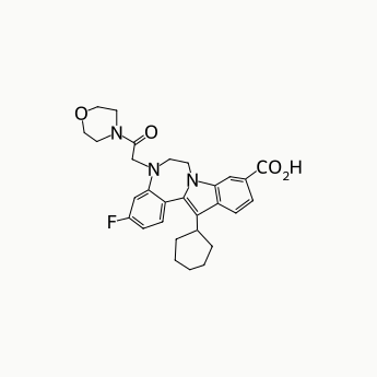 O=C(O)c1ccc2c(C3CCCCC3)c3n(c2c1)CCN(CC(=O)N1CCOCC1)c1cc(F)ccc1-3